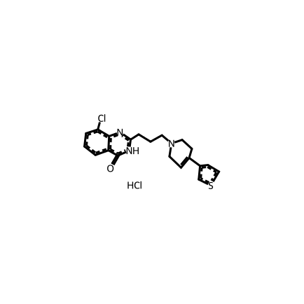 Cl.O=c1[nH]c(CCCN2CC=C(c3ccsc3)CC2)nc2c(Cl)cccc12